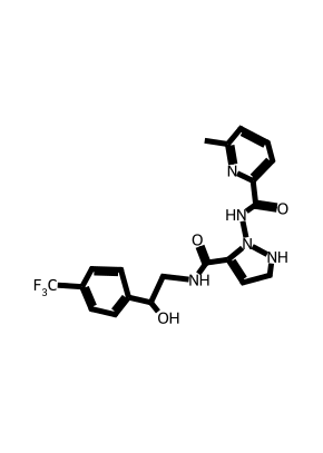 Cc1cccc(C(=O)NN2NCC=C2C(=O)NCC(O)c2ccc(C(F)(F)F)cc2)n1